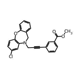 COC(=O)c1cccc(C#CCN2Cc3ccccc3Oc3ccc(Cl)cc32)c1